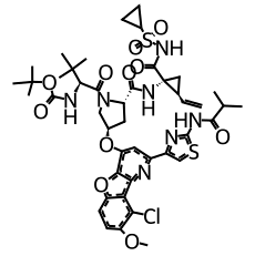 C=C[C@@H]1C[C@]1(NC(=O)[C@@H]1C[C@@H](Oc2cc(-c3csc(NC(=O)C(C)C)n3)nc3c2oc2ccc(OC)c(Cl)c23)CN1C(=O)[C@@H](NC(=O)OC(C)(C)C)C(C)(C)C)C(=O)NS(=O)(=O)C1CC1